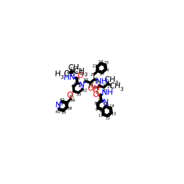 CC(C)[C@H](NC(=O)c1ccc2ccccc2n1)C(=O)N[C@@H](Cc1ccccc1)[C@H](O)CN1CC[C@@H](OCc2cccnc2)CC1C(=O)NC(C)(C)C